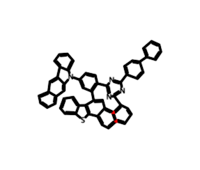 c1ccc(-c2ccc(-c3nc(-c4ccccc4)nc(-c4ccc(-n5c6ccccc6c6cc7ccccc7cc65)cc4-c4cc5ccccc5c5sc6ccccc6c45)n3)cc2)cc1